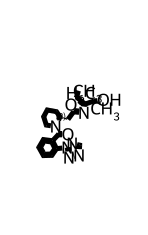 Cc1oc(C[C@H]2CCCCN2C(=O)c2ccccc2-n2ncnn2)nc1C(C)(C)O